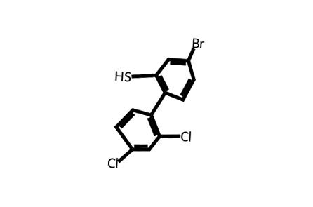 Sc1cc(Br)ccc1-c1ccc(Cl)cc1Cl